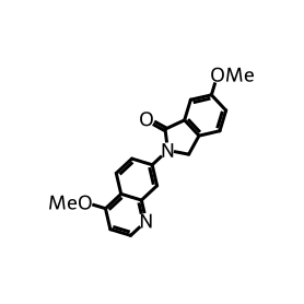 COc1ccc2c(c1)C(=O)N(c1ccc3c(OC)ccnc3c1)C2